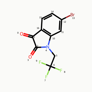 O=C1C(=O)N(CC(F)(F)F)c2cc(Br)ccc21